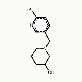 CC(C)c1ccc(CN2CCCC(O)C2)cn1